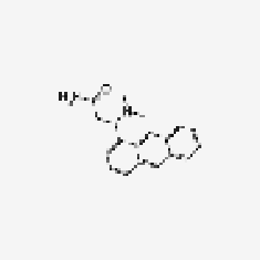 CN(C)C(CC(N)=O)c1cccc2cc3ccccc3cc12